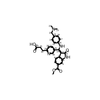 COC(=O)c1ccc2c(c1)NC(=O)/C2=C(\Nc1ccc(CN(C)C)cc1)c1ccc(CCC(=O)O)nc1